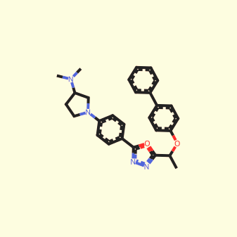 CC(Oc1ccc(-c2ccccc2)cc1)c1nnc(-c2ccc(N3CCC(N(C)C)C3)cc2)o1